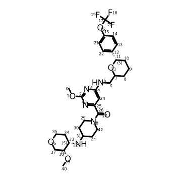 COc1nc(NCC2CCC[C@@H](c3ccc(OC(F)(F)F)cc3)O2)cc(C(=O)N2CCC(N[C@H]3CCOC[C@H]3OC)CC2)n1